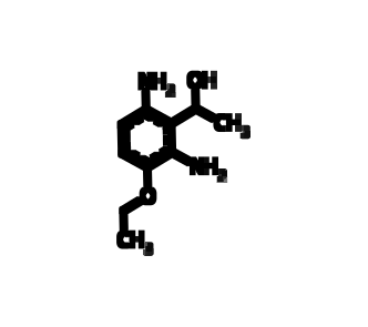 CCOc1ccc(N)c(C(C)O)c1N